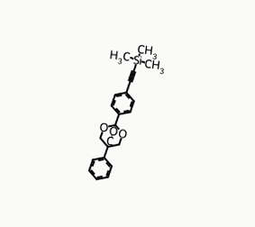 C[Si](C)(C)C#Cc1ccc(C23OCC(c4ccccc4)(CO2)CO3)cc1